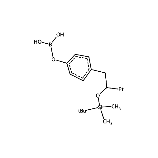 CCC(Cc1ccc(OB(O)O)cc1)O[Si](C)(C)C(C)(C)C